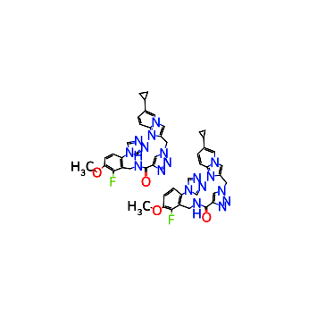 COc1ccc(-n2cnnc2)c(CNC(=O)c2cn(Cc3cn4cc(C5CC5)ccc4n3)nn2)c1F.COc1ccc(-n2cnnc2)c(CNC(=O)c2cn(Cc3cn4cc(C5CC5)ccc4n3)nn2)c1F